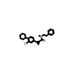 CN(CCc1ccccc1)C(=O)C1CC1c1ccc(C2CCCCC2)c(Cl)c1